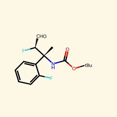 CC(C)(C)OC(=O)N[C@](C)(c1ccccc1F)[C@@H](F)C=O